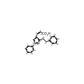 O=C(O)/C=C\c1cn(-c2ccccc2)nc1CCc1ccccc1